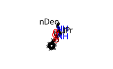 CCCCCCCCCCCCNC(=O)[C@H](CC(C)C)NC(=O)OCc1ccccc1